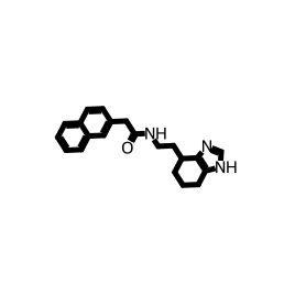 O=C(Cc1ccc2ccccc2c1)NCCC1CCCc2[nH]cnc21